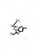 CCCS(=O)(=O)On1c(CCl)nc2cc(Br)ncc21